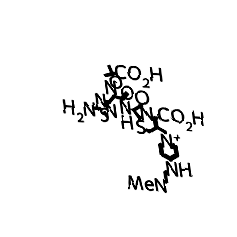 CNCCNc1cc[n+](CC2=C(C(=O)O)N3C(=O)[C@@H](NC(=O)/C(=N\OC(C)(C)C(=O)O)c4nsc(N)n4)C3SC2)cc1